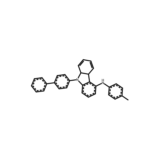 Cc1ccc(Nc2cccc3c2C2C=CC=CC2N3c2ccc(-c3ccccc3)cc2)cc1